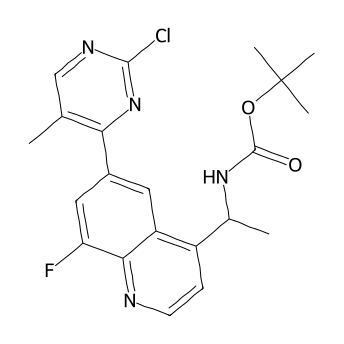 Cc1cnc(Cl)nc1-c1cc(F)c2nccc(C(C)NC(=O)OC(C)(C)C)c2c1